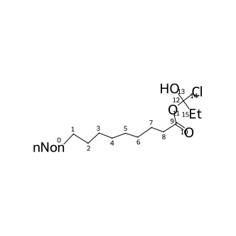 CCCCCCCCCCCCCCCCCC(=O)OC(O)(Cl)CC